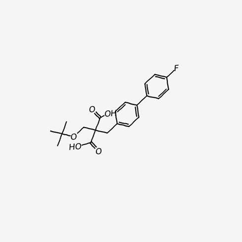 CC(C)(C)OCC(Cc1ccc(-c2ccc(F)cc2)cc1)(C(=O)O)C(=O)O